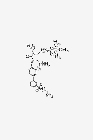 CCCN(CCCNC(=O)OC(C)(C)C)C(=O)C1=Cc2ccc(-c3cccc(S(=O)(=O)N4CC(CN)C4)c3)cc2N=C(N)C1